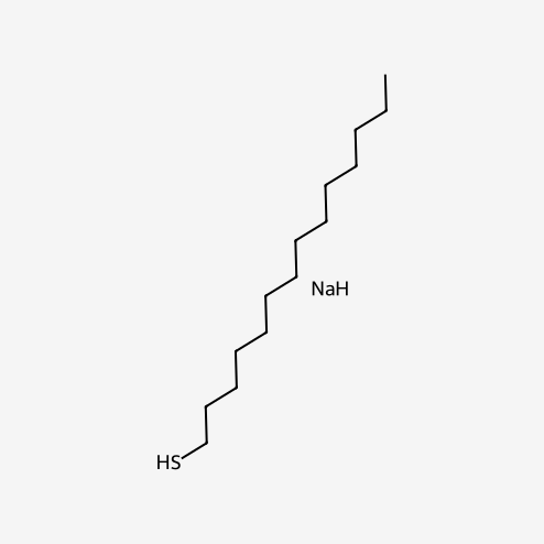 CCCCCCCCCCCCCCS.[NaH]